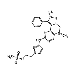 C[C@@H]1Cc2nn(C)c(-c3ccccc3)c2-c2nc(Nc3ccn(CCOS(C)(=O)=O)n3)ncc21